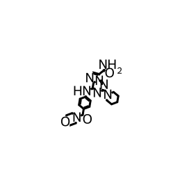 NC(=O)c1cnc2c(Nc3ccc(C(=O)N4CCOCC4)cc3)nc(N3CCCCC3)nn12